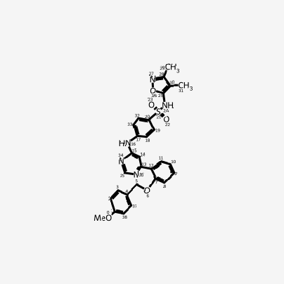 COc1ccc(COc2ccccc2-c2cc(Nc3ccc(S(=O)(=O)Nc4onc(C)c4C)cc3)ncn2)cc1